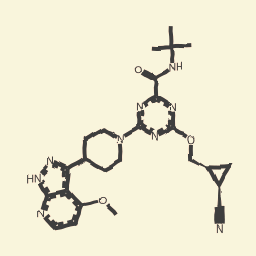 COc1ccnc2[nH]nc(C3CCN(c4nc(OC[C@H]5C[C@H]5C#N)nc(C(=O)NC(C)(C)C)n4)CC3)c12